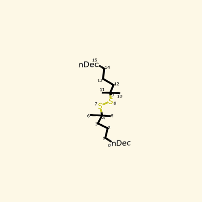 CCCCCCCCCCCCCC(C)(C)SSC(C)(C)CCCCCCCCCCCCC